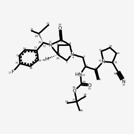 C=C(C(CN1C[C@@H]2CC1C(=O)N2[C@H](c1ccc(F)cc1)C(C)C)NC(=O)OC(C)(C)C)N1CCCC1C#N